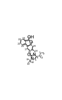 CCC(C)c1cn(C(C)(C)C)c(=O)n1Cc1ccc(-c2ccccc2C(=O)O)cc1